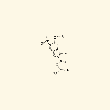 COc1cc2c(Cl)c(C(=O)OC(C)C)sc2cc1[N+](=O)[O-]